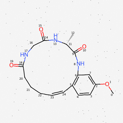 COc1ccc2c(c1)NC(=O)[C@@H](C)NC(=O)CNC(=O)CCCC=C2